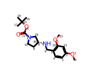 COc1ccc(CN[C@@H]2CCN(C(=O)OC(C)(C)C)C2)c(OC)c1